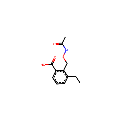 CCc1cccc(C(=O)O)c1CONC(C)=O